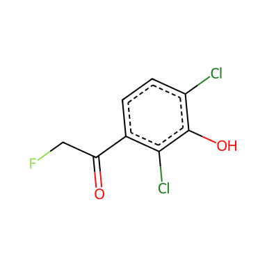 O=C(CF)c1ccc(Cl)c(O)c1Cl